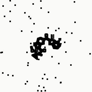 COCC1(N(C)C(=O)c2[nH]nc3c2CN(C(=O)C2Cc4cccc(F)c4N2)CC3)CC1